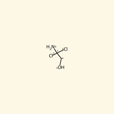 NC(Cl)(Cl)CO